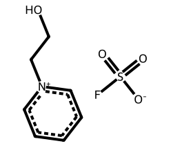 O=S(=O)([O-])F.OCC[n+]1ccccc1